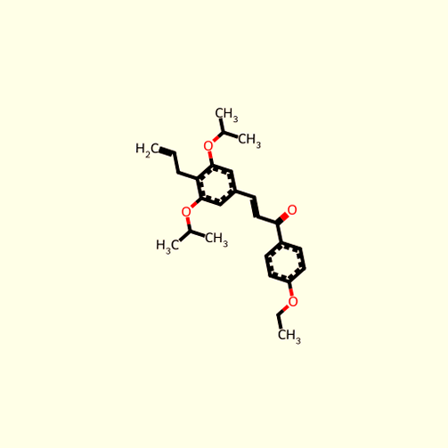 C=CCc1c(OC(C)C)cc(C=CC(=O)c2ccc(OCC)cc2)cc1OC(C)C